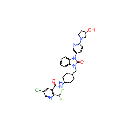 O=C(NC1CCC(Cn2c(=O)n(-c3ccc(N4CC[C@@H](O)C4)nc3)c3ccccc32)CC1)c1cc(Cl)cnc1C(F)F